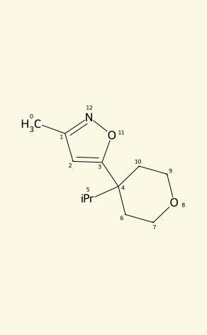 Cc1cc(C2(C(C)C)CCOCC2)on1